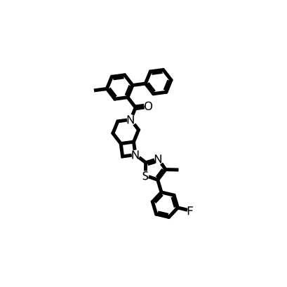 Cc1ccc(-c2ccccc2)c(C(=O)N2CCC3CN(c4nc(C)c(-c5cccc(F)c5)s4)C3C2)c1